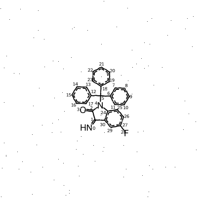 N=C1C(=O)N(C(c2ccccc2)(c2ccccc2)c2ccccc2)c2ccc(F)cc21